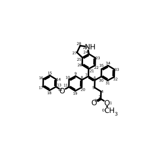 COC(=O)CC/C(=C(\c1ccc(Oc2ccccc2)cc1)c1ccc2c(c1)CCN2)c1ccccc1